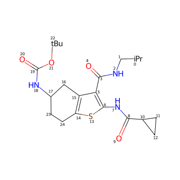 CC(C)CNC(=O)c1c(NC(=O)C2CC2)sc2c1CC(NC(=O)OC(C)(C)C)CC2